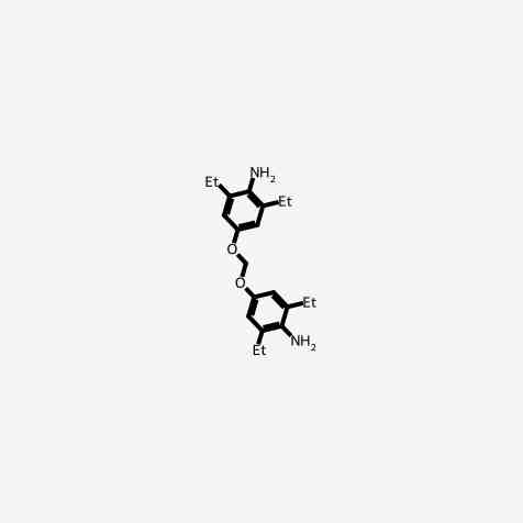 CCc1cc(OCOc2cc(CC)c(N)c(CC)c2)cc(CC)c1N